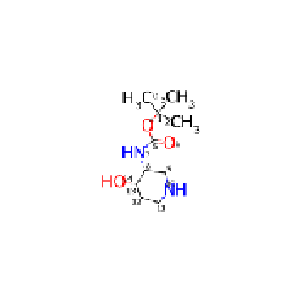 CC(C)(C)OC(=O)N[C@@H]1CNCC[C@@H]1O